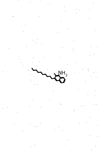 CCCCCCCCCCc1cc2ccccc2c(N)c1C